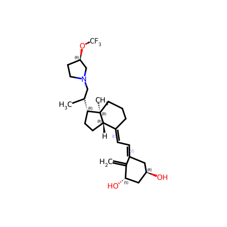 C=C1/C(=C\C=C2/CCC[C@]3(C)[C@@H](C(C)CN4CC[C@@H](OC(F)(F)F)C4)CC[C@@H]23)C[C@@H](O)C[C@@H]1O